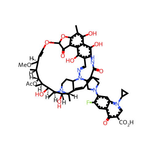 CO[C@H]1/C=C/O[C@@]2(C)Oc3c(C)c(O)c4c(O)c(c(/C=N/N(C5CCN(C)CC5)C5CCN(c6cc7c(cc6F)c(=O)c(C(=O)O)cn7C6CC6)C5)c(O)c4c3C2=O)NC(=O)/C(C)=C\C=C\[C@H](C)[C@H](O)[C@@H](C)[C@@H](O)[C@@H](C)[C@H](OC(C)=O)[C@@H]1C